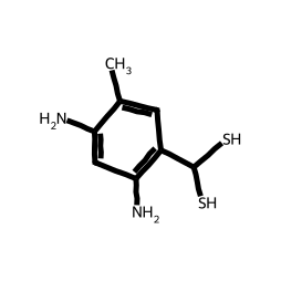 Cc1cc(C(S)S)c(N)cc1N